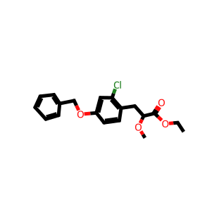 CCOC(=O)C(Cc1ccc(OCc2ccccc2)cc1Cl)OC